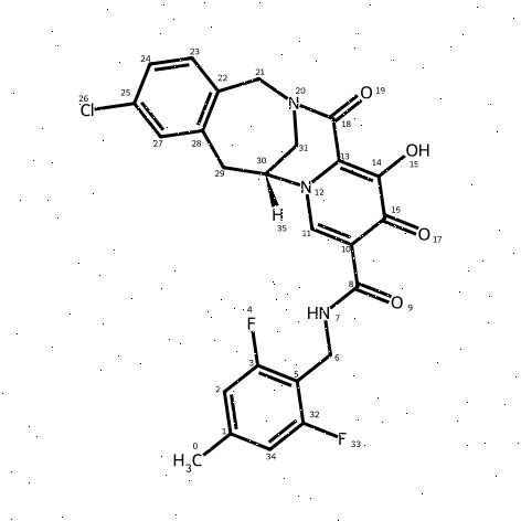 Cc1cc(F)c(CNC(=O)c2cn3c(c(O)c2=O)C(=O)N2Cc4ccc(Cl)cc4C[C@@H]3C2)c(F)c1